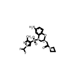 Cc1nn(C(F)F)cc1S(=O)(=O)N1C[C@H](CC(=O)N2CCC2)Oc2ccc(N)cc21